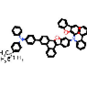 C[Si](C)(C)c1ccc(N(c2ccccc2)c2ccc(-c3ccc4c(c3)c3ccccc3c3c5ccc(N(c6ccccc6-c6ccccc6)c6cccc7c6oc6ccccc67)cc5oc43)cc2)cc1